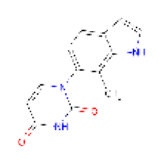 Cc1c(-n2ccc(=O)[nH]c2=O)ccc2cc[nH]c12